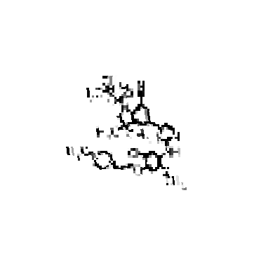 COc1cc(OCCN2CCN(C)CC2)c(Cl)cc1Nc1nccc(-c2cc(C#N)c3c(c2)C(C)(C)CN3C(=O)OC(C)(C)C)n1